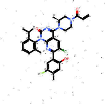 C=CC(=O)N1CCN(c2nc(=O)n(-c3c(C)cccc3C(C)C)c3nc(-c4cc(F)c(C)cc4O)c(Cl)cc23)[C@@H](C)C1